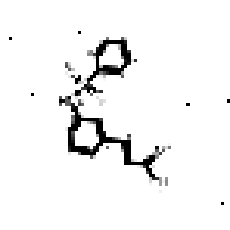 O=C(O)C=Cc1cccc(NS(=O)(=O)c2ccccc2)c1